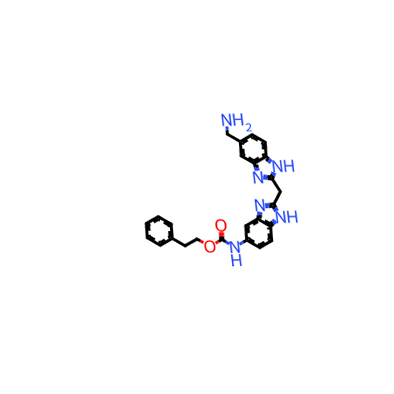 NCc1ccc2[nH]c(Cc3nc4cc(NC(=O)OCCc5ccccc5)ccc4[nH]3)nc2c1